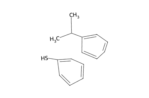 CC(C)c1ccccc1.Sc1ccccc1